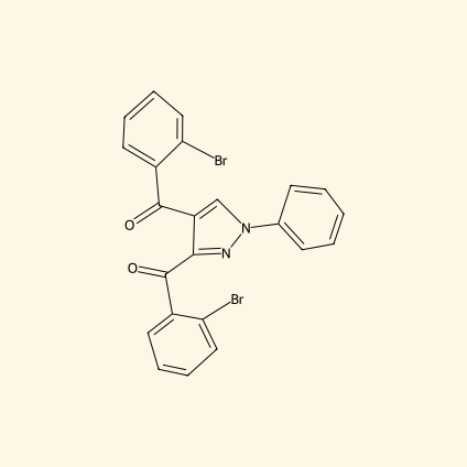 O=C(c1ccccc1Br)c1cn(-c2ccccc2)nc1C(=O)c1ccccc1Br